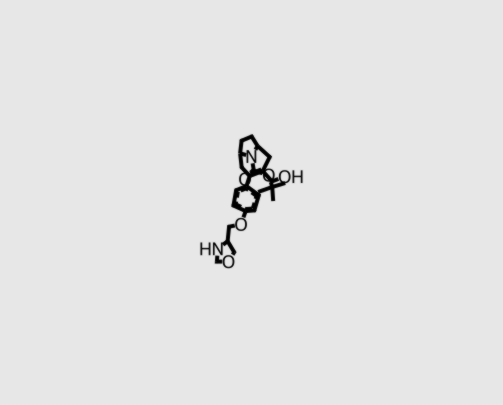 CC(C)(C)OC(=O)N1C2CCC1CC(c1ccc(OCC3COCN3)cc1)=C(CO)C2